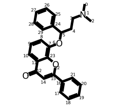 CN(C)CCC(Oc1cccc2c(=O)cc(-c3ccccc3)oc12)c1ccccc1